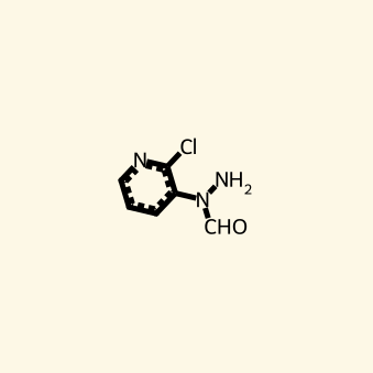 NN(C=O)c1cccnc1Cl